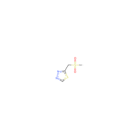 [CH2]S(=O)(=O)Cc1nncs1